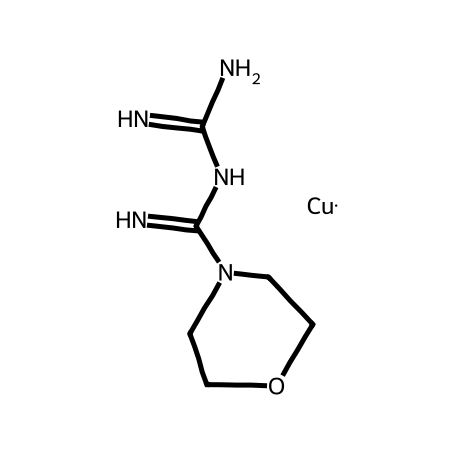 N=C(N)NC(=N)N1CCOCC1.[Cu]